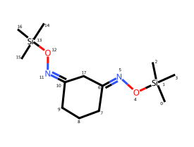 C[Si](C)(C)ON=C1CCCC(=NO[Si](C)(C)C)C1